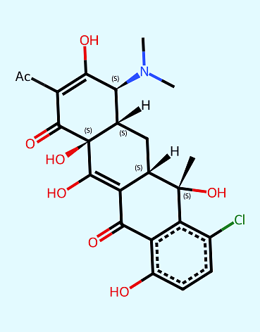 CC(=O)C1=C(O)[C@@H](N(C)C)[C@@H]2C[C@H]3C(=C(O)[C@]2(O)C1=O)C(=O)c1c(O)ccc(Cl)c1[C@@]3(C)O